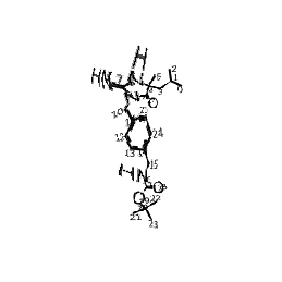 CC(C)CC1(C)NC(=N)N(Cc2ccc(CNC(=O)OC(C)(C)C)cc2)C1=O